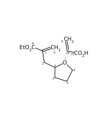 C=C(CC1CCCO1)C(=O)OCC.C=CC(=O)O